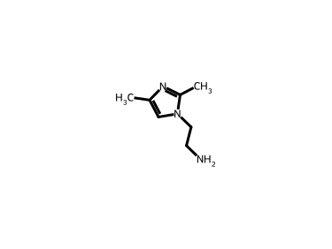 Cc1cn(CCN)c(C)n1